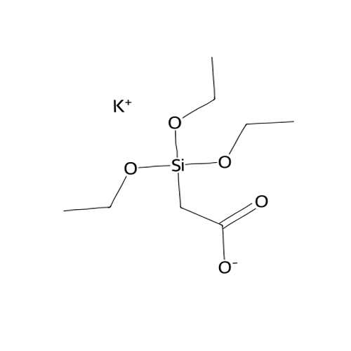 CCO[Si](CC(=O)[O-])(OCC)OCC.[K+]